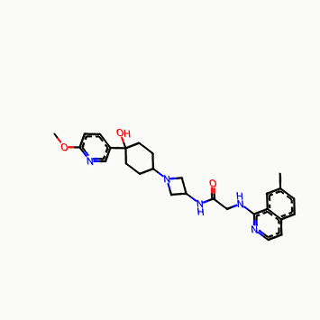 COc1ccc(C2(O)CCC(N3CC(NC(=O)CNc4nccc5ccc(C)cc45)C3)CC2)cn1